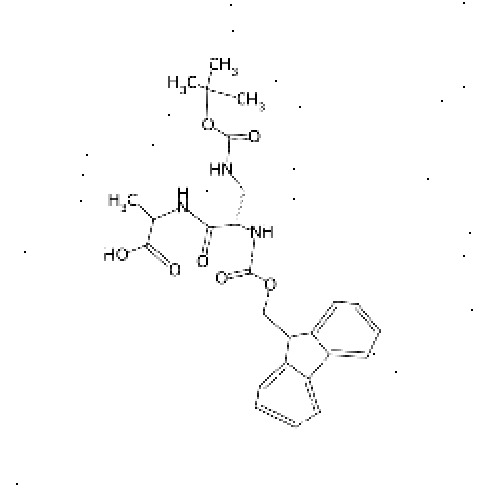 CC(NC(=O)[C@H](CNC(=O)OC(C)(C)C)NC(=O)OCC1c2ccccc2-c2ccccc21)C(=O)O